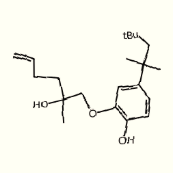 C=CCCC(C)(O)COc1cc(C(C)(C)CC(C)(C)C)ccc1O